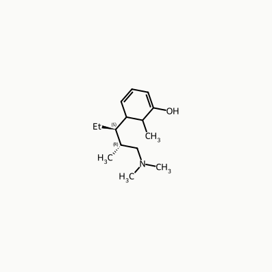 CC[C@@H](C1C=CC=C(O)C1C)[C@@H](C)CN(C)C